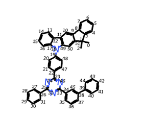 CC1(C)c2ccccc2-c2cc3c4ccccc4n(-c4ccc(-c5nc(-c6ccccc6)nc(-c6cccc(-c7ccccc7)c6)n5)cc4)c3cc21